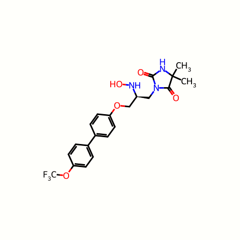 CC1(C)NC(=O)N(C[C@@H](COc2ccc(-c3ccc(OC(F)(F)F)cc3)cc2)NO)C1=O